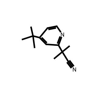 CC(C)(C)c1ccnc(C(C)(C)C#N)c1